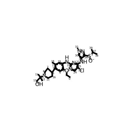 CCOc1cc(C2CCN(C(C)(C)CO)CC2)c(C)cc1Nc1ncc(Cl)c(Nc2cn(C)nc2[S+]([O-])C(C)C)n1